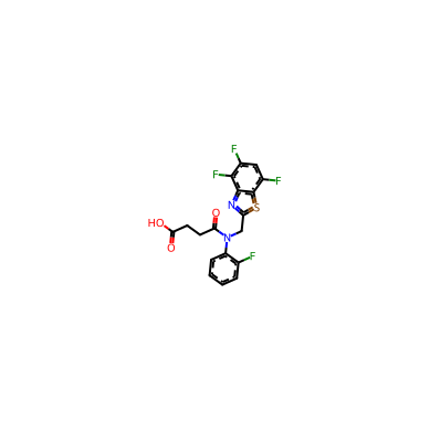 O=C(O)CCC(=O)N(Cc1nc2c(F)c(F)cc(F)c2s1)c1ccccc1F